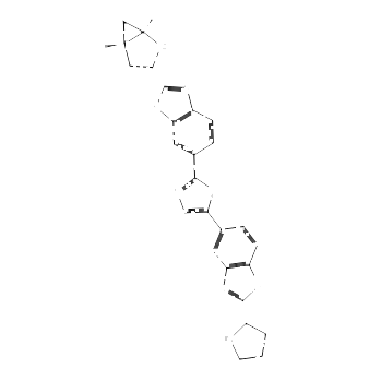 c1cc2[nH]c([C@@H]3CCCN3)nc2cc1-c1cnc(-c2ccc3nc([C@@H]4C[C@@H]5C[C@@H]5N4)[nH]c3c2)o1